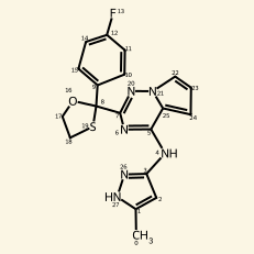 Cc1cc(Nc2nc(C3(c4ccc(F)cc4)OCCS3)nn3cccc23)n[nH]1